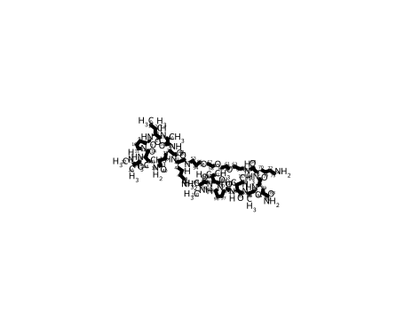 CC[C@H](C)[C@H](NC(=O)[C@@H]1CCCN1C(=O)[C@@H](NC(=O)[C@H](C)NC)C(C)C)C(=O)N[C@@H](C)C(=O)N[C@@H](CCCC(N)=O)C(=O)N[C@@H](CCCCN)C(=O)NCCCOCCOCCOCCCNC(=O)[C@H](CCCCN)NC(=O)[C@H](CCC(N)=O)NC(=O)[C@H](C)NC(=O)[C@@H](NC(=O)[C@@H]1CCCN1C(=O)[C@@H](NC(=O)[C@H](C)NC)C(C)C)[C@@H](C)CC